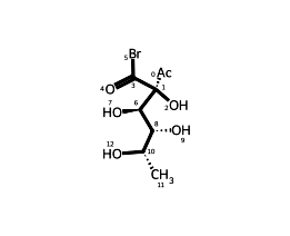 CC(=O)[C@@](O)(C(=O)Br)[C@H](O)[C@H](O)[C@H](C)O